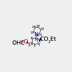 CCOC(=O)N1CCC(CO[C]=O)CC1N1CCCCC1